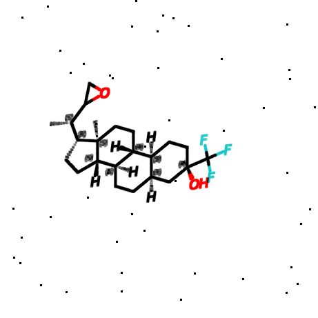 C[C@H](C1CO1)[C@H]1CC[C@H]2[C@@H]3CC[C@@H]4C[C@@](O)(C(F)(F)F)CC[C@@H]4[C@H]3CC[C@]12C